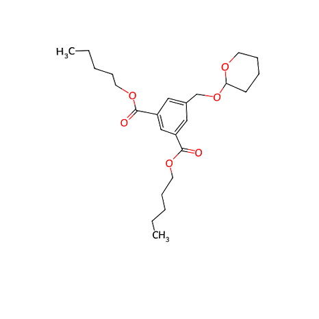 CCCCCOC(=O)c1cc(COC2CCCCO2)cc(C(=O)OCCCCC)c1